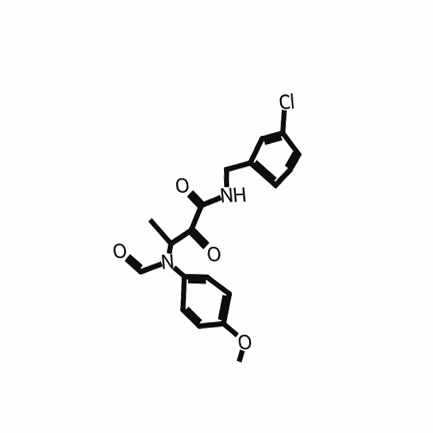 COc1ccc(N(C=O)C(C)C(=O)C(=O)NCc2cccc(Cl)c2)cc1